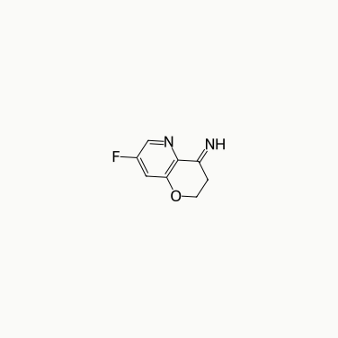 N=C1CCOc2cc(F)cnc21